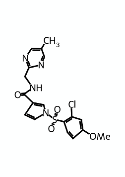 COc1ccc(S(=O)(=O)n2ccc(C(=O)NCc3ncc(C)cn3)c2)c(Cl)c1